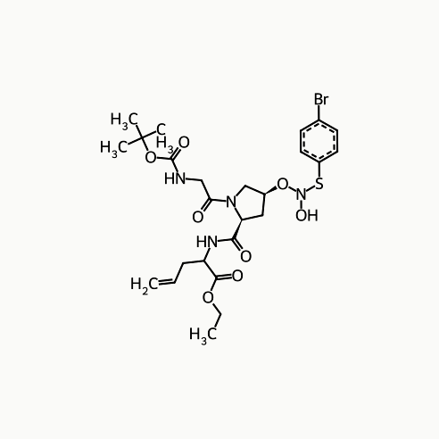 C=CCC(NC(=O)[C@@H]1C[C@H](ON(O)Sc2ccc(Br)cc2)CN1C(=O)CNC(=O)OC(C)(C)C)C(=O)OCC